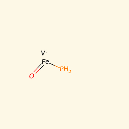 [O]=[Fe][PH2].[V]